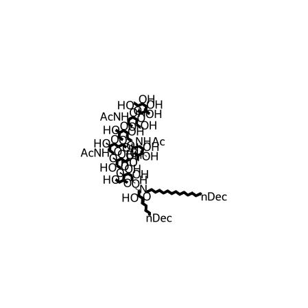 CCCCCCCCCCCCC/C=C/[C@@H](O)[C@H](CO[C@@H]1OC(CO)[C@@H](O[C@@H]2OC(CO)[C@H](O)[C@H](O[C@@H]3OC(CO)[C@@H](O[C@@H]4OC(CO[C@@H]5OC(CO)[C@@H](O)[C@H](O)C5NC(C)=O)[C@H](O)[C@H](O[C@@H]5OC(CO)[C@@H](O[C@@H]6OC(CO)[C@H](O)[C@H](O)C6O)[C@H](O)C5NC(C)=O)C4O)[C@H](O)C3NC(C)=O)C2O)[C@H](O)C1O)NC(=O)CCCCCCCCCCCCCCCCCCCCCCC